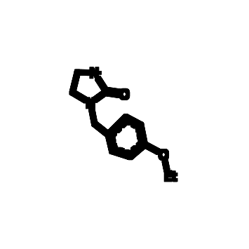 CCOc1ccc(CN2CC[N]C2=O)cc1